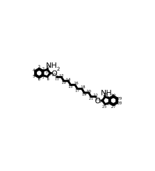 NC1c2ccccc2CC1OCCCCCCCCCCCCOC1Cc2ccccc2C1N